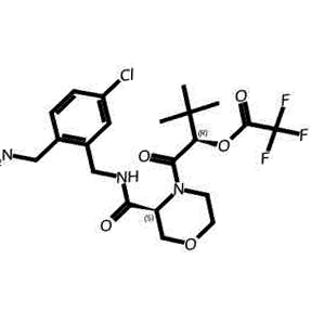 CC(C)(C)[C@@H](OC(=O)C(F)(F)F)C(=O)N1CCOC[C@H]1C(=O)NCc1cc(Cl)ccc1CN